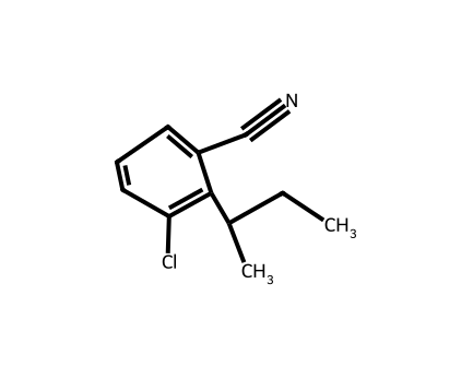 CCC(C)c1c(Cl)cccc1C#N